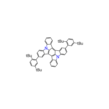 CC(C)(C)c1ccc(C(C)(C)C)c(-c2ccc3c(c2)c2c4c5ccccc5n5c6ccc(-c7cc(C(C)(C)C)ccc7C(C)(C)C)cc6c(c6c7ccccc7n3c62)c45)c1